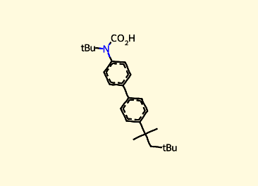 CC(C)(C)CC(C)(C)c1ccc(-c2ccc(N(C(=O)O)C(C)(C)C)cc2)cc1